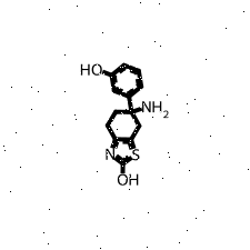 NC1(c2cccc(O)c2)CCc2nc(O)sc2C1